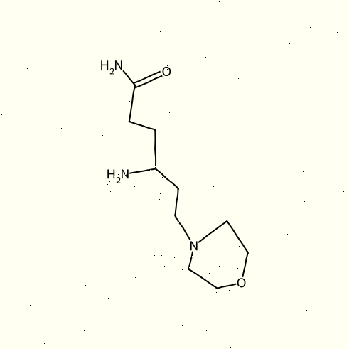 NC(=O)CCC(N)CCN1CCOCC1